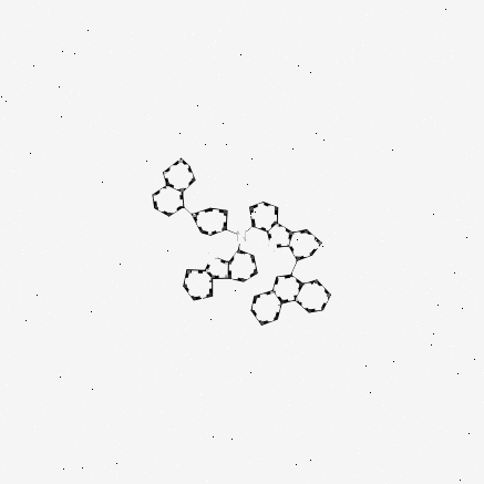 c1ccc2c(-c3ccc(N(c4cccc5c4sc4ccccc45)c4cccc5c4sc4c(-c6cc7ccccc7c7ccccc67)cccc45)cc3)cccc2c1